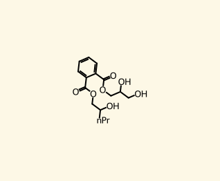 CCCC(O)COC(=O)c1ccccc1C(=O)OCC(O)CO